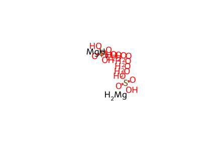 O.O.O.O.O.O.O.O=S(=O)(O)O.O=S(=O)(O)O.[MgH2].[MgH2]